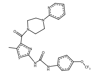 Cc1sc(NC(=O)Nc2ccc(OC(F)(F)F)cc2)nc1C(=O)N1CCN(c2ccccn2)CC1